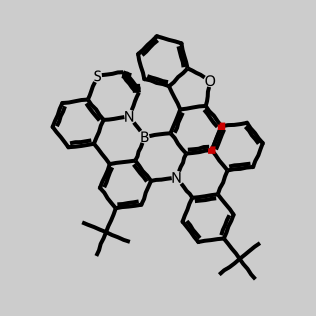 CC(C)(C)c1ccc(N2c3cc(C(C)(C)C)cc4c3B(c3c2ccc2oc5ccccc5c32)N2c3ccccc3Sc3cccc-4c32)c(-c2ccccc2)c1